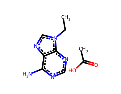 CC(=O)O.CCn1cnc2c(N)ncnc21